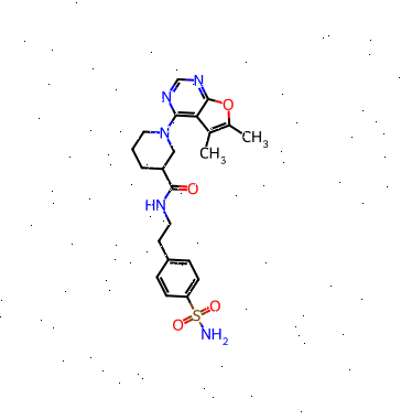 Cc1oc2ncnc(N3CCCC(C(=O)NCCc4ccc(S(N)(=O)=O)cc4)C3)c2c1C